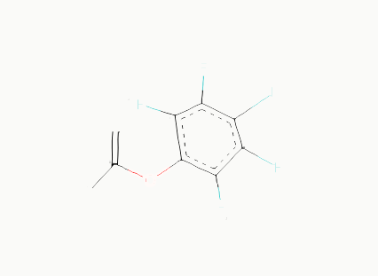 C=C(C)Oc1c(F)c(F)c(F)c(F)c1F